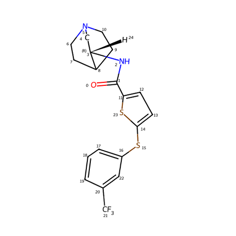 O=C(N[C@H]1CN2CCC1CC2)c1ccc(Sc2cccc(C(F)(F)F)c2)s1